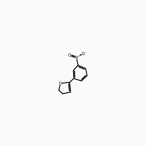 O=[N+]([O-])c1cccc(C2=CCCO2)c1